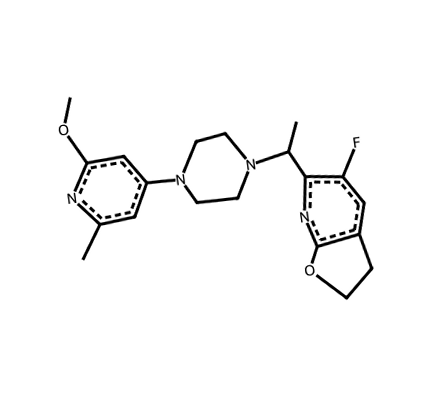 COc1cc(N2CCN(C(C)c3nc4c(cc3F)CCO4)CC2)cc(C)n1